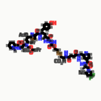 CCCC(=O)OCN(C(=O)[C@@H](NC(=O)[C@H]1CCCCN1C)C(C)CC)[C@H](C[C@@H](OC(C)=O)c1nc(C(=O)N[C@@H](Cc2ccc(O)cc2)C[C@H](C)C(=O)NNC(=O)OCCSSCC(NC(=O)CCC(=O)NCc2cc(C(=O)N[C@H](C)C(=O)N3CC(F)(F)C[C@H]3C#N)ccn2)C(=O)O)cs1)C(C)C